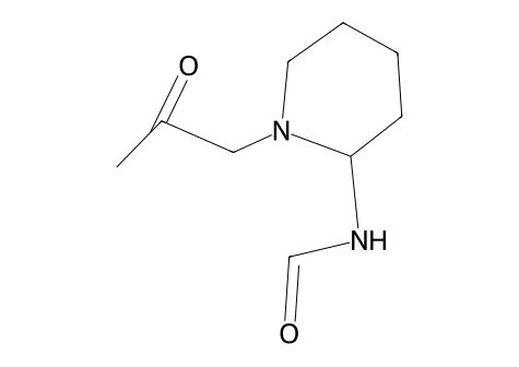 CC(=O)CN1CCCCC1NC=O